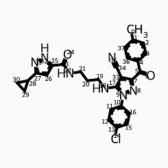 Cc1ccc(C(=O)c2nn(-c3ccc(Cl)cc3)c(NCCCNC(=O)c3cc(C4CC4)n[nH]3)c2C#N)cc1